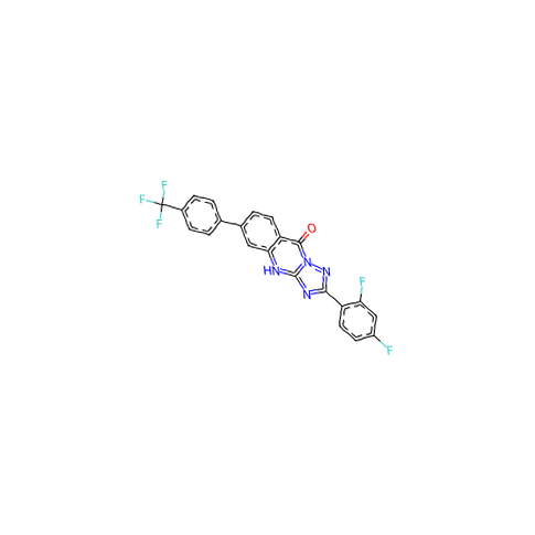 O=c1c2ccc(-c3ccc(C(F)(F)F)cc3)cc2[nH]c2nc(-c3ccc(F)cc3F)nn12